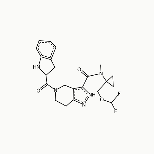 CN(C(=O)c1[nH]nc2c1CN(C(=O)C1Cc3ccccc3N1)CC2)C1(COC(F)F)CC1